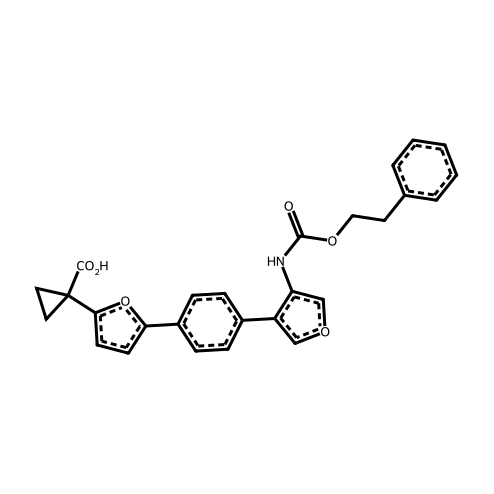 O=C(Nc1cocc1-c1ccc(-c2ccc(C3(C(=O)O)CC3)o2)cc1)OCCc1ccccc1